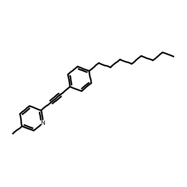 CCCCCCCCc1ccc(C#Cc2ccc(C)cn2)cc1